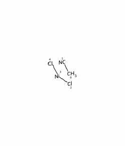 CC#N.[Cl][Ni][Cl]